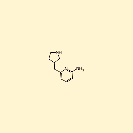 Nc1cccc(C[C@H]2CCNC2)n1